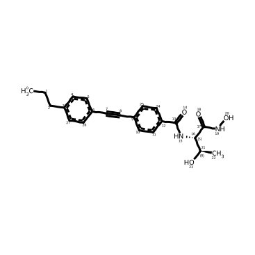 CCCc1ccc(C#Cc2ccc(C(=O)N[C@H](C(=O)NO)[C@@H](C)O)cc2)cc1